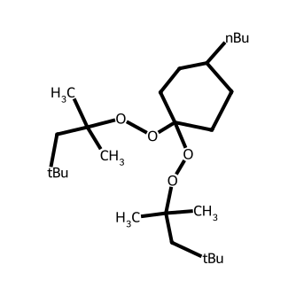 CCCCC1CCC(OOC(C)(C)CC(C)(C)C)(OOC(C)(C)CC(C)(C)C)CC1